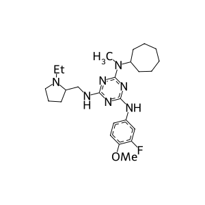 CCN1CCCC1CNc1nc(Nc2ccc(OC)c(F)c2)nc(N(C)C2CCCCCC2)n1